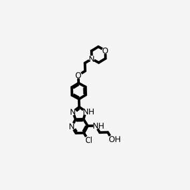 OCCNc1c(Cl)cnc2nc(-c3ccc(OCCN4CCOCC4)cc3)[nH]c12